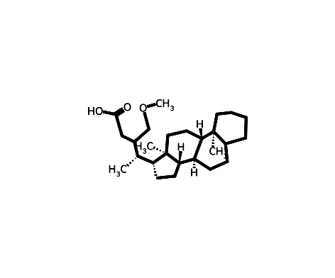 COCC(CC(=O)O)[C@@H](C)[C@H]1CC[C@H]2[C@@H]3CCC4CCCC[C@]4(C)[C@H]3CC[C@]12C